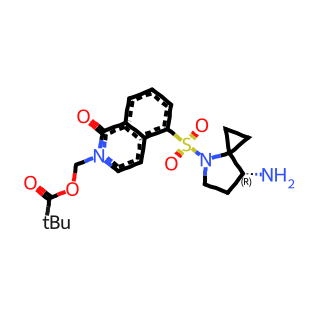 CC(C)(C)C(=O)OCn1ccc2c(S(=O)(=O)N3CC[C@@H](N)C34CC4)cccc2c1=O